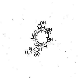 CCC(C)[C@@H]1NC(=O)[C@H](Cc2ccc(O)cc2)N(C)C(=O)[C@H](C(C)CC)N([C@H](C)O)C(=O)/C=C(\C)NC(=O)[C@H](CC(C)C)NC(=O)[C@@H](NC(=O)[C@H](CCC(N)=O)NC(=O)C[S+](C)[O-])[C@@H](C)OC1=O